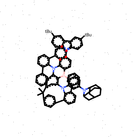 CC(C)(C)c1ccc2c(c1)c1cc(C(C)(C)C)ccc1n2-c1ccc2c(c1)N(c1c(-c3ccccc3)cccc1-c1ccccc1)c1cc3cc4c1B2c1ccc(N2C5CC6CC(C5)CC2C6)cc1N4c1c(-c2ccccc2)cccc1-c1ccc(cc1)C3(C)C